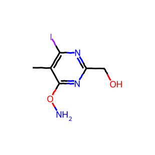 Cc1c(I)nc(CO)nc1ON